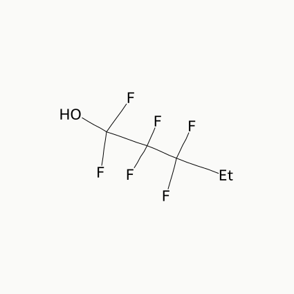 CCC(F)(F)C(F)(F)C(O)(F)F